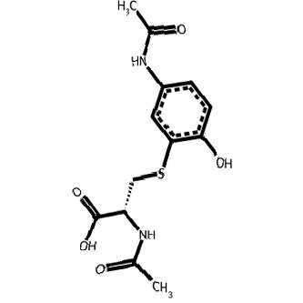 CC(=O)Nc1ccc(O)c(SC[C@H](NC(C)=O)C(=O)O)c1